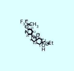 CCOC[C@]1(O)CC[C@]2(CCN(c3ccc(O[C@H](C)C(F)(F)F)nc3)C2=O)CC1